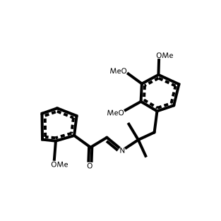 COc1ccccc1C(=O)/C=N/C(C)(C)Cc1ccc(OC)c(OC)c1OC